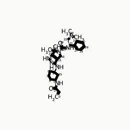 C=CC(=O)N[C@@H]1CCC[C@@H](NC2NNC3=C2CN(C(=O)N[C@H](CN(C)C)c2ccccc2)C3(C)C)C1